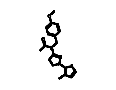 COc1ccc(CN(C(C)=O)C2=NN(c3sccc3C)CC2)cc1